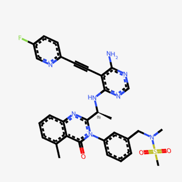 Cc1cccc2nc([C@H](C)Nc3ncnc(N)c3C#Cc3ccc(F)cn3)n(-c3cccc(CN(C)S(C)(=O)=O)c3)c(=O)c12